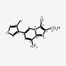 Cc1cscc1-c1cc(C(F)(F)F)c2nc(C(=O)O)c(Cl)n2c1